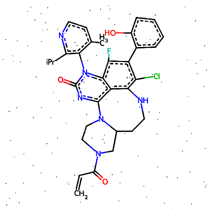 C=CC(=O)N1CCN2c3nc(=O)n(-c4c(C)ccnc4C(C)C)c4c(F)c(-c5ccccc5O)c(Cl)c(c34)NCCC2C1